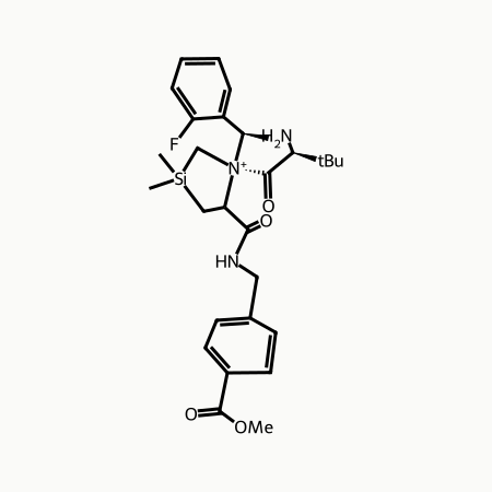 COC(=O)c1ccc(CNC(=O)C2C[Si](C)(C)C[N@@+]2(C(=O)[C@@H](N)C(C)(C)C)[C@H](C)c2ccccc2F)cc1